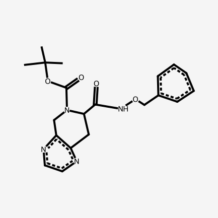 CC(C)(C)OC(=O)N1Cc2nccnc2CC1C(=O)NOCc1ccccc1